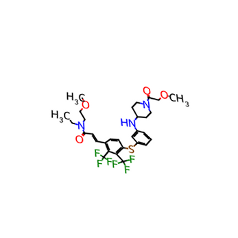 CCN(CCOC)C(=O)C=Cc1ccc(Sc2cccc(NC3CCN(C(=O)COC)CC3)c2)c(C(F)(F)F)c1C(F)(F)F